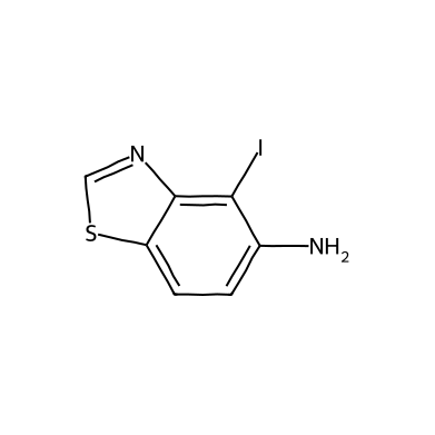 Nc1ccc2scnc2c1I